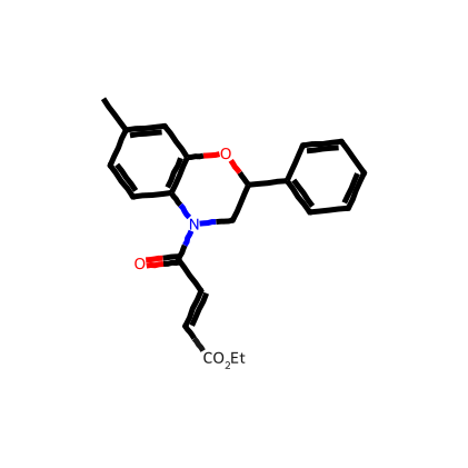 CCOC(=O)C=CC(=O)N1CC(c2ccccc2)Oc2cc(C)ccc21